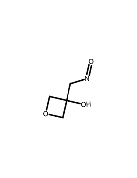 O=NCC1(O)COC1